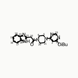 CC(C)COc1cc(N2CCN(C(=O)Cc3nc4ccccc4[nH]3)CC2)ncn1